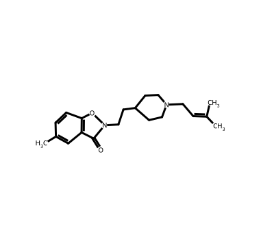 CC(C)=CCN1CCC(CCn2oc3ccc(C)cc3c2=O)CC1